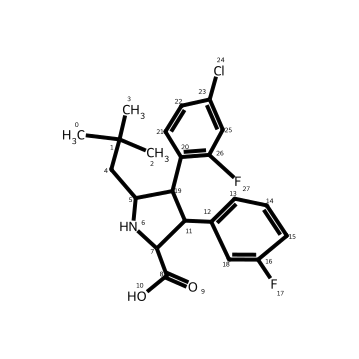 CC(C)(C)CC1NC(C(=O)O)C(c2cccc(F)c2)C1c1ccc(Cl)cc1F